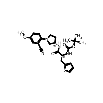 COc1ccc(N2CC[C@H](NC(=O)[C@H](Cc3cccs3)NC(=O)OC(C)(C)C)C2)c(C#N)c1